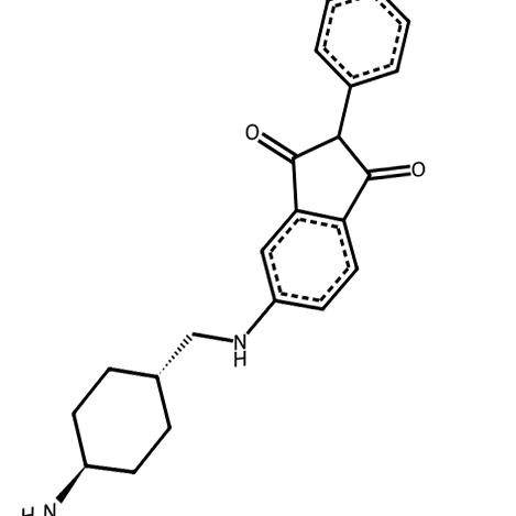 N[C@H]1CC[C@H](CNc2ccc3c(c2)C(=O)C(c2ccccc2)C3=O)CC1